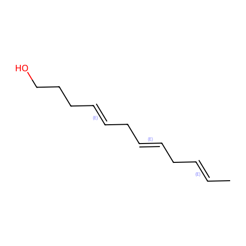 C/C=C/C/C=C/C/C=C/CCCO